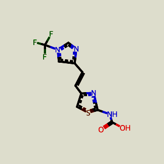 O=C(O)Nc1nc(C=Cc2cn(C(F)(F)F)cn2)cs1